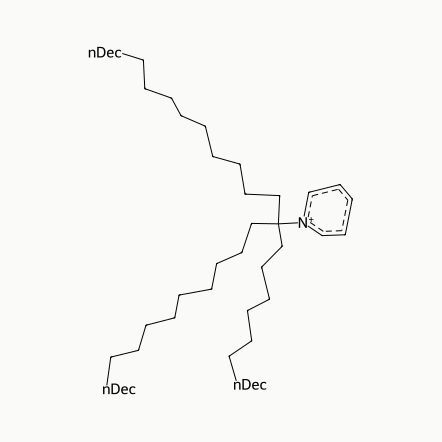 CCCCCCCCCCCCCCCCCCCC(CCCCCCCCCCCCCCCC)(CCCCCCCCCCCCCCCCCCC)[n+]1ccccc1